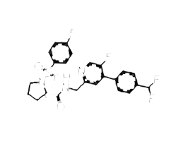 O=C(NCc1cc(-c2ccc(C(F)F)cc2)c(F)cn1)[C@@H]1CCCN1S(=O)(=O)c1ccc(F)cc1